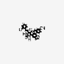 N#Cc1cccc(COC(=O)C2=C(CCc3ccccc3Cl)NC(=O)NC2c2ccc3c(c2)CCO3)c1